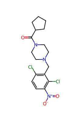 O=C(C1CCCC1)N1CCN(Cc2c(Cl)ccc([N+](=O)[O-])c2Cl)CC1